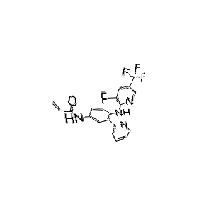 C=CC(=O)Nc1ccc(Nc2ncc(C(F)(F)F)cc2F)c(-c2ccccn2)c1